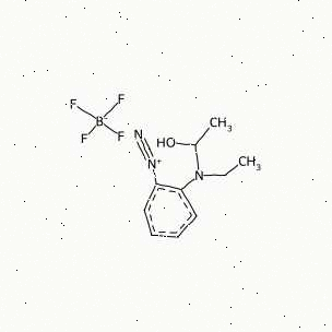 CCN(c1ccccc1[N+]#N)C(C)O.F[B-](F)(F)F